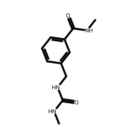 CNC(=O)NCc1cccc(C(=O)NC)c1